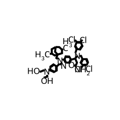 CC1CC2CC(C)CC(Cn3c(-c4ccc(N(CCO)CCO)cc4)nc4cc(C(CC(N)=O)N(Cc5ccc(Cl)c(Cl)c5)Cc5ccc(Cl)c(Cl)c5)ccc43)(C1)C2